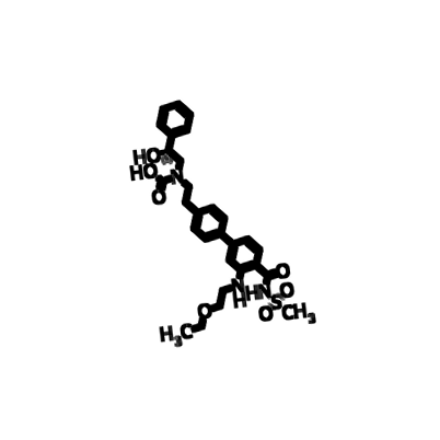 CCOCCNc1cc(-c2ccc(CCN(C[C@@H](O)c3ccccc3)C(=O)O)cc2)ccc1C(=O)NS(C)(=O)=O